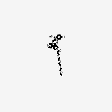 CCCCn1c(CN2C(=O)C3(CCN(C(=O)CCOCCOCCOCCOCI)CC3)c3ccncc32)nc2cc(Cl)ccc21